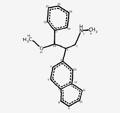 CNCC(c1ccc2ccccc2c1)C(OC)c1ccccc1